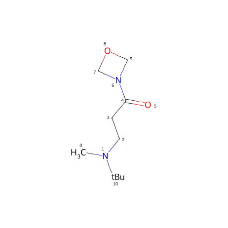 CN(CCC(=O)N1COC1)C(C)(C)C